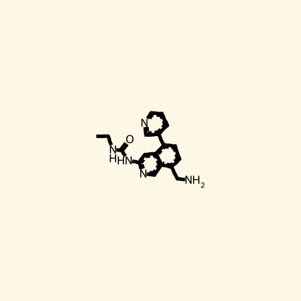 CCNC(=O)Nc1cc2c(-c3cccnc3)ccc(CN)c2cn1